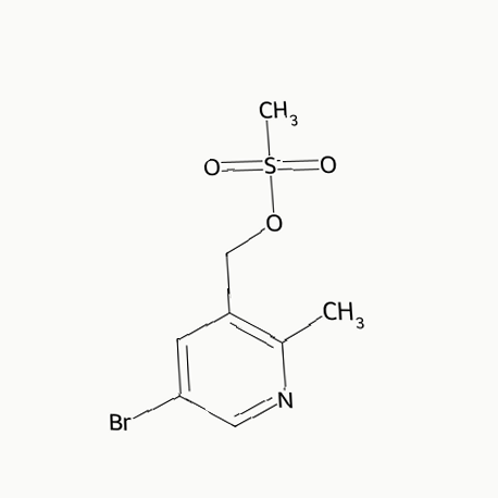 Cc1ncc(Br)cc1COS(C)(=O)=O